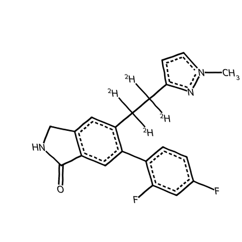 [2H]C([2H])(c1ccn(C)n1)C([2H])([2H])c1cc2c(cc1-c1ccc(F)cc1F)C(=O)NC2